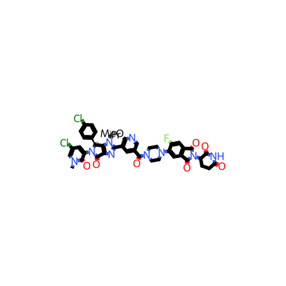 COc1ncc(C(=O)N2CCN(c3cc4c(cc3F)C(=O)N(C3CCC(=O)NC3=O)C4=O)CC2)cc1-c1nc2c(n1C(C)C)[C@H](c1ccc(Cl)cc1)N(c1cc(Cl)cn(C)c1=O)C2=O